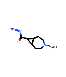 [N-]=[N+]=NC(=O)C1C2CCN(C(=O)O)CCC21